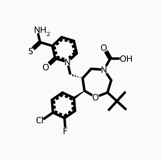 CC(C)(C)C1CN(C(=O)O)C[C@@H](Cn2cccc(C(N)=S)c2=O)[C@H](c2ccc(Cl)c(F)c2)O1